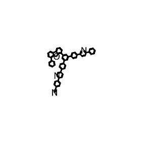 N#Cc1ccc(-c2ccc(-c3ccc(-c4cc(-c5ccc(-c6ccc(-c7ccccc7)nc6)cc5)cc(-c5cccc6c5oc5c(-c7ccccc7)cccc56)c4)cc3)cn2)cc1